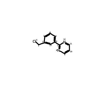 ClCc1cccc(-c2ncccn2)c1